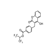 O=C(OC(C(F)(F)F)C(F)(F)F)c1ccc(Cc2c(O)c3ccccc3oc2=O)cc1